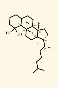 CC(C)CCC[C@@H](C)[C@H]1CC[C@H]2[C@@H]3CCC4CCCC(O)(O)[C@]4(C)[C@H]3CC[C@]12C